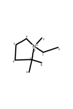 CC[N+]1(C)CCCC1(C)C